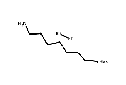 CCCCCCCCCCCCCN.CCO